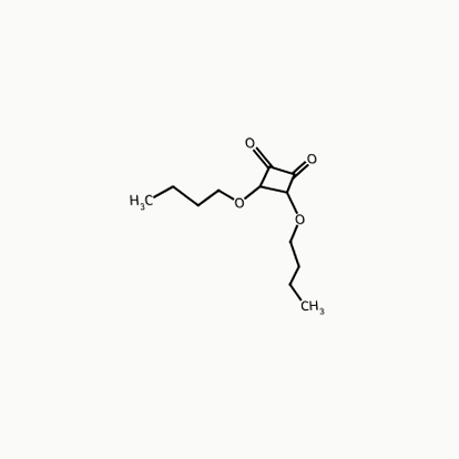 CCCCOC1C(=O)C(=O)C1OCCCC